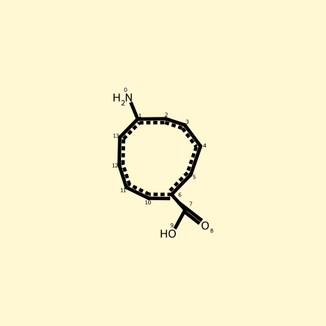 Nc1ccccc(C(=O)O)cccc1